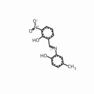 Cc1ccc(O)c(/N=C/c2cccc([N+](=O)[O-])c2O)c1